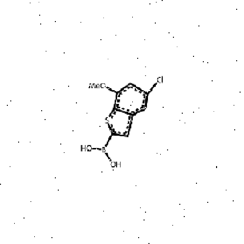 COc1cc(Cl)cc2cc(B(O)O)sc12